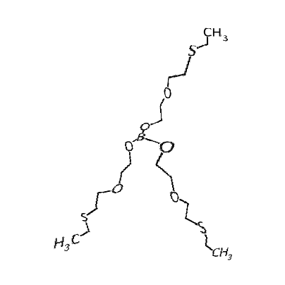 CCSCCOCCOB(OCCOCCSCC)OCCOCCSCC